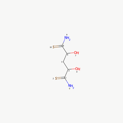 NC(=S)C(O)CC(O)C(N)=S